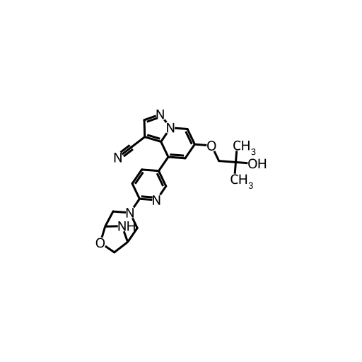 CC(C)(O)COc1cc(-c2ccc(N3CC4COC(C3)N4)nc2)c2c(C#N)cnn2c1